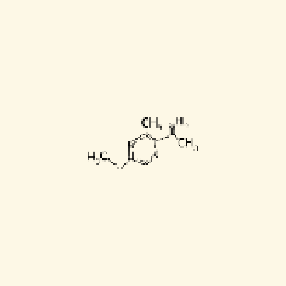 C=C(C)c1ccc(CC)cc1C